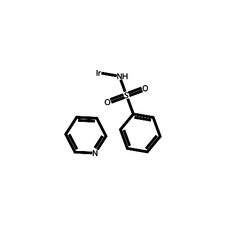 O=S(=O)([NH][Ir])c1ccccc1.c1ccncc1